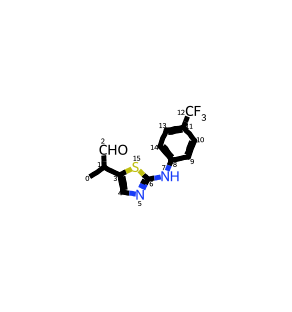 CC(C=O)c1cnc(Nc2ccc(C(F)(F)F)cc2)s1